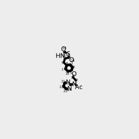 CC(=O)N(CCOc1ccc(CC2NC(=O)SC2=O)cc1)c1ncccn1